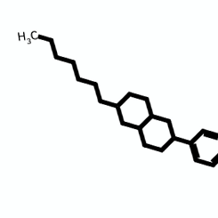 CCCCCCCC1CCC2CC(c3ccccc3)CCC2C1